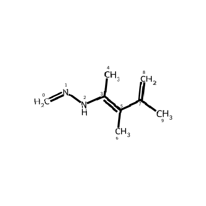 C=NN/C(C)=C(\C)C(=C)C